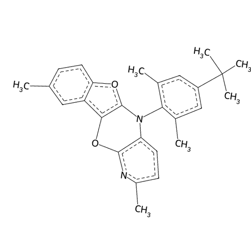 Cc1ccc2oc3c(c2c1)Oc1nc(C)ccc1N3c1c(C)cc(C(C)(C)C)cc1C